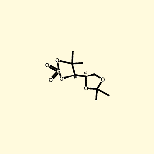 CC1(C)OC[C@H]([C@H]2OS(=O)(=O)OC2(C)C)O1